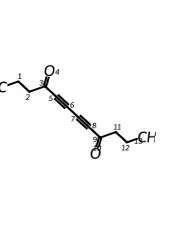 CCCC(=O)C#CC#CC(=O)CCC